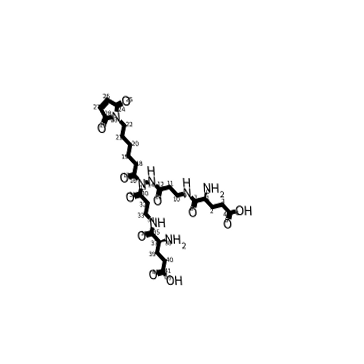 N[C@@H](CCC(=O)O)C(=O)NCCC(=O)NN(C(=O)CCCCCN1C(=O)C=CC1=O)C(=O)CCNC(=O)[C@@H](N)CCC(=O)O